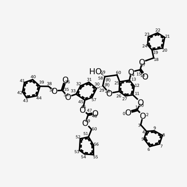 O=C(OCc1ccccc1)Oc1cc(OC(=O)OCc2ccccc2)c2c(c1)O[C@H](c1ccc(OC(=O)OCc3ccccc3)c(OC(=O)OCc3ccccc3)c1)[C@H](O)C2